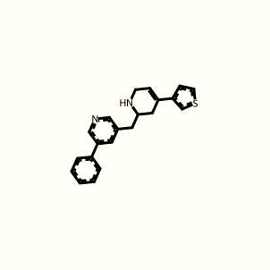 C1=C(c2ccsc2)CC(Cc2cncc(-c3ccccc3)c2)NC1